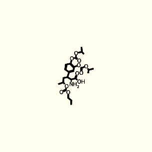 CCCOC(=O)OC(C)CC(c1ccc(OC(=O)OC(C)C)c(OC(=O)OC(C)C)c1)[C@H](N)C(=O)O